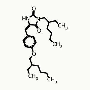 CCCCC(CC)COc1ccc(C=C2NC(=O)N(CC(CC)CCCC)C2=O)cc1